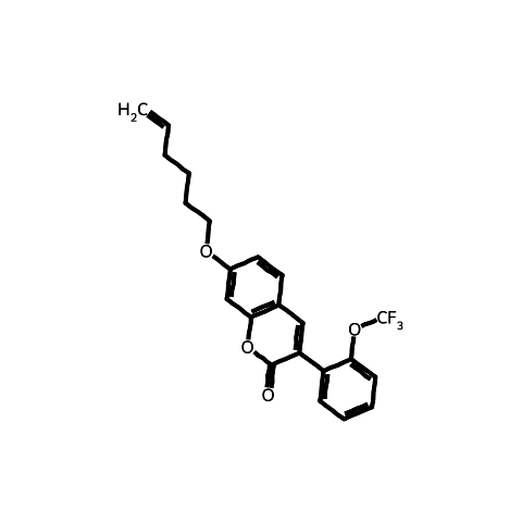 C=CCCCCOc1ccc2cc(-c3ccccc3OC(F)(F)F)c(=O)oc2c1